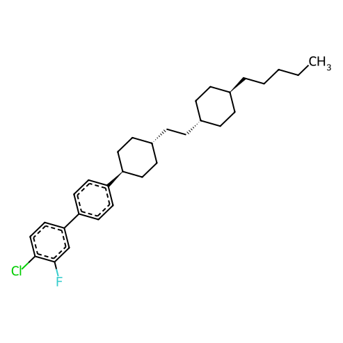 CCCCC[C@H]1CC[C@H](CC[C@H]2CC[C@H](c3ccc(-c4ccc(Cl)c(F)c4)cc3)CC2)CC1